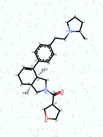 C[C@@H]1CCCN1CCc1ccc(C2=CCC[C@@H]3CN(C(=O)C4CCOC4)C[C@H]23)cc1